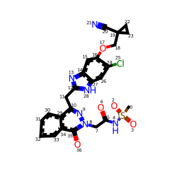 CS(=O)(=O)NC(=O)Cn1nc(Cc2nc3cc(OCC4(C#N)CC4)c(Cl)cc3[nH]2)c2ccccc2c1=O